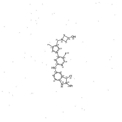 Cc1cn(-c2nc(Nc3ccc4c(c3)C(Cl)N(C(C)C)N4)ncc2F)cc1CN1CC(O)C1